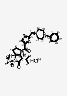 CC(C)[C@@H]1C(=O)N(S(C)(=O)=O)[C@@H]2CCN(C(=O)c3csc(CN4CCN(c5ccccc5)CC4)n3)[C@H]21.Cl